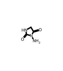 NN1C(=O)CNC1=O